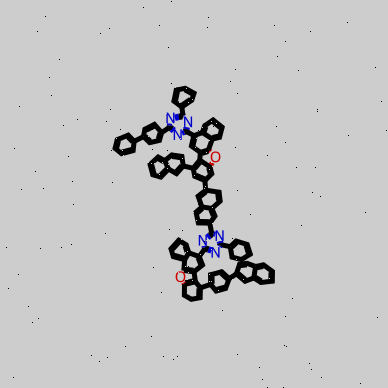 C1=CCCC(c2nc(-c3ccc4cc(-c5cc(-c6ccc7ccccc7c6)c6c(c5)oc5c7ccccc7c(-c7nc(-c8ccccc8)nc(-c8ccc(-c9ccccc9)cc8)n7)cc56)ccc4c3)nc(-c3cc4c5c(oc4c4ccccc34)CCC=C5c3ccc(-c4ccc5ccccc5c4)cc3)n2)=C1